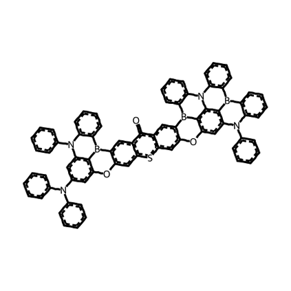 O=c1c2cc3c(cc2sc2cc4c(cc12)B1c2ccccc2N2c5ccccc5B5c6ccccc6N(c6ccccc6)c6cc(c1c2c65)O4)Oc1cc(N(c2ccccc2)c2ccccc2)cc2c1B3c1ccccc1N2c1ccccc1